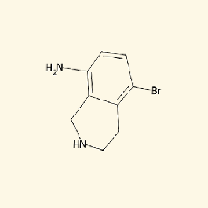 Nc1ccc(Br)c2c1CNCC2